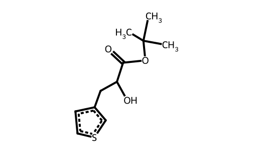 CC(C)(C)OC(=O)C(O)Cc1ccsc1